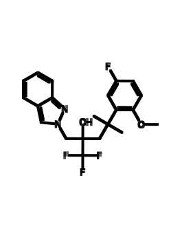 COc1ccc(F)cc1C(C)(C)CC(O)(Cn1cc2ccccc2n1)C(F)(F)F